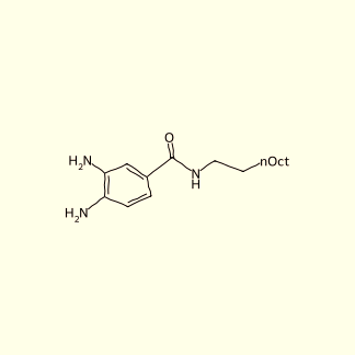 CCCCCCCCCCNC(=O)c1ccc(N)c(N)c1